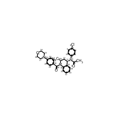 CC(=O)N(c1ccc(Cl)cc1)[C@@H]1C[C@H](C)N(C(=O)c2ccc(N3CCOCC3)cc2)c2ccccc21